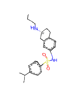 CCCN[C@@H]1CCc2ccc(NS(=O)(=O)c3ccc(C(C)C)cc3)cc2C1